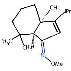 CON=C1C=C(C(C)C)[C@]2(C)CCCC(C)(C)[C@H]12